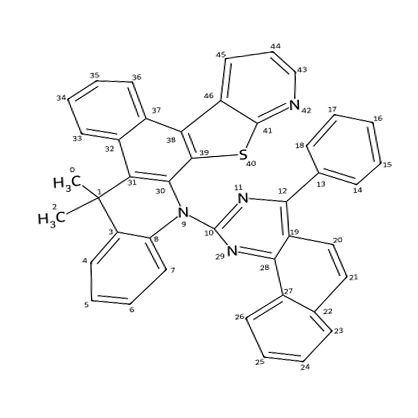 CC1(C)c2ccccc2N(c2nc(-c3ccccc3)c3ccc4ccccc4c3n2)c2c1c1ccccc1c1c2sc2ncccc21